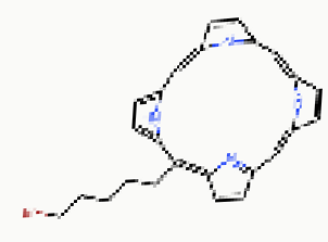 BrCCCCCc1c2nc(cc3ccc(cc4nc(cc5ccc1[nH]5)C=C4)[nH]3)C=C2